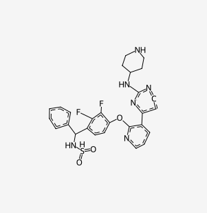 O=[SH](=O)NC(c1ccccc1)c1ccc(Oc2ncccc2-c2ccnc(NC3CCNCC3)n2)c(F)c1F